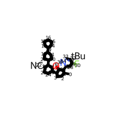 Cc1ccc2c(oc3c(-c4ccc(-c5ccccc5)cc4)c(C#N)ccc32)c1-c1cc(F)c(C(C)(C)C)c[n+]1C